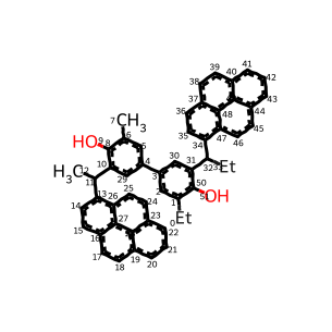 CCc1cc(-c2cc(C)c(O)c(C(C)c3ccc4ccc5cccc6ccc3c4c56)c2)cc(C(CC)c2ccc3ccc4cccc5ccc2c3c45)c1O